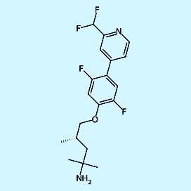 C[C@H](COc1cc(F)c(-c2ccnc(C(F)F)c2)cc1F)CC(C)(C)N